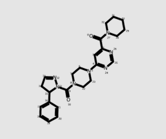 O=C(c1cc(N2CCN(C(=O)N3N=CCC3c3ccccc3)CC2)ncn1)N1CCCCC1